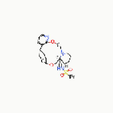 CC(C)S(=O)(=O)N[C@H]1CCCN2CCOc3ncccc3C3CCC(CC3)OC[C@@H]12